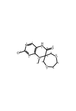 CN1c2nc(Cl)ncc2NC(=O)C12COCCOC2